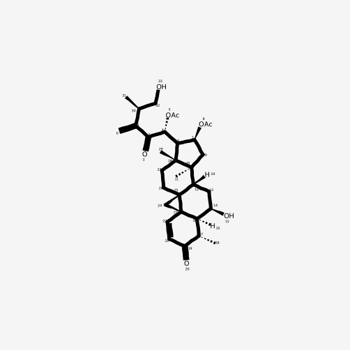 C=C(C(=O)[C@H](OC(C)=O)C1[C@@H](OC(C)=O)C[C@@]2(C)[C@@H]3C[C@@H](O)[C@H]4[C@H](C)C(=O)C=C[C@@]45C[C@@]35CC[C@]12C)[C@@H](C)CO